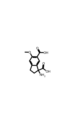 COc1cc2c(cc1C(=O)O)C(N)(C(=O)O)CC2